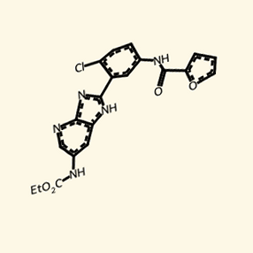 CCOC(=O)Nc1cnc2nc(-c3cc(NC(=O)c4ccco4)ccc3Cl)[nH]c2c1